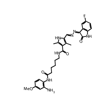 COc1ccc(NC(=O)CCCCCNC(=O)c2c(C)[nH]c(/C=N/N=C3\C(=O)Nc4ccc(F)cc43)c2C)c(N)c1